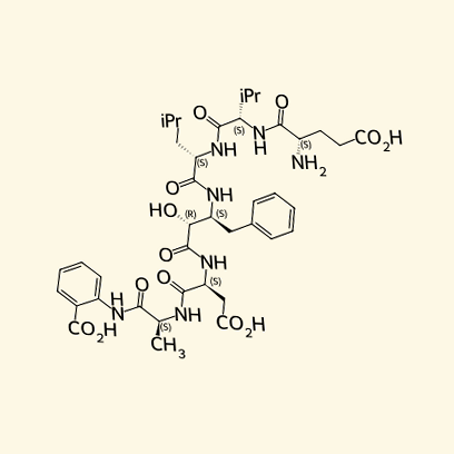 CC(C)C[C@H](NC(=O)[C@@H](NC(=O)[C@@H](N)CCC(=O)O)C(C)C)C(=O)N[C@@H](Cc1ccccc1)[C@@H](O)C(=O)N[C@@H](CC(=O)O)C(=O)N[C@@H](C)C(=O)Nc1ccccc1C(=O)O